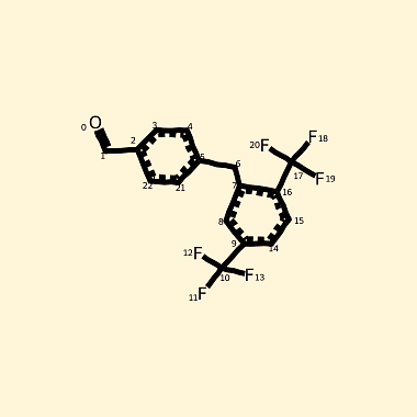 O=Cc1ccc(Cc2cc(C(F)(F)F)ccc2C(F)(F)F)cc1